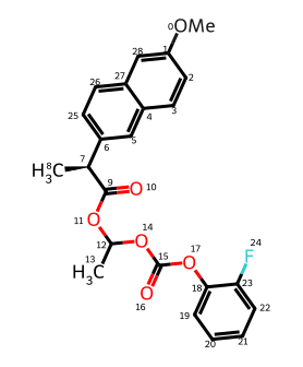 COc1ccc2cc([C@H](C)C(=O)OC(C)OC(=O)Oc3ccccc3F)ccc2c1